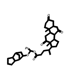 CC(C)C(OC(=O)CCC(C)C1CCC2C3C(=O)CC4CC(=O)CCC4(C)C3CC(=O)C12C)OC1CC2CC1C1CCCC21